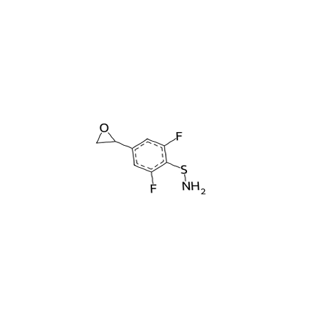 NSc1c(F)cc(C2CO2)cc1F